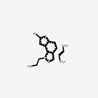 CC(C)c1cc2c(ccc3cnn(CCN)c32)s1.O=C(O)/C=C/C(=O)O